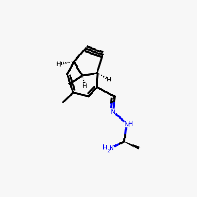 CC1=C[C@H]2C#C[C@@H](C(/C=N/N[C@@H](C)N)=C1)[C@H]2C